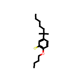 CCCCCC(C)(C)c1ccc(OCCCC)c([S])c1